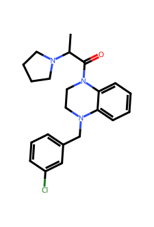 CC(C(=O)N1CCN(Cc2cccc(Cl)c2)c2ccccc21)N1CCCC1